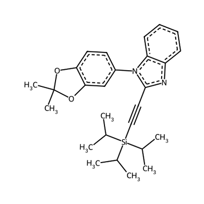 CC(C)[Si](C#Cc1nc2ccccc2n1-c1ccc2c(c1)OC(C)(C)O2)(C(C)C)C(C)C